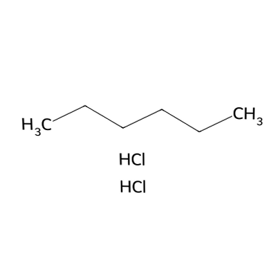 CCCCCC.Cl.Cl